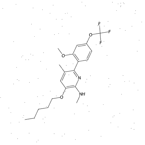 CCCCCOc1cc(C)c(-c2ccc(OC(F)(F)F)cc2OC)nc1NC